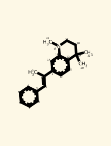 CC(=Cc1ccccc1)c1ccc2c(c1)N(C)CCC2(C)C